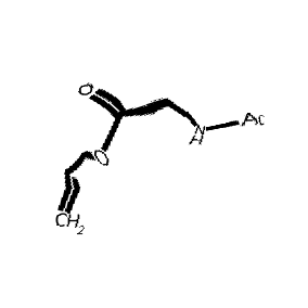 C=COC(=O)CNC(C)=O